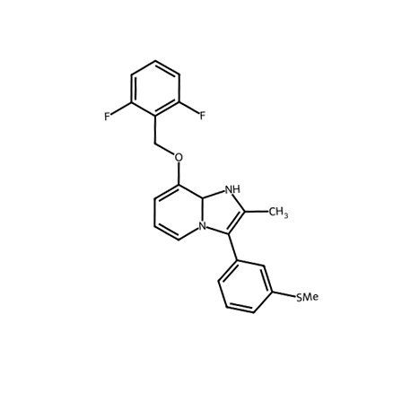 CSc1cccc(C2=C(C)NC3C(OCc4c(F)cccc4F)=CC=CN23)c1